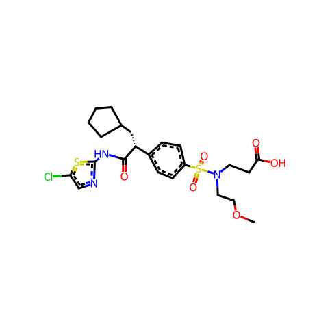 COCCN(CCC(=O)O)S(=O)(=O)c1ccc([C@@H](CC2CCCC2)C(=O)Nc2ncc(Cl)s2)cc1